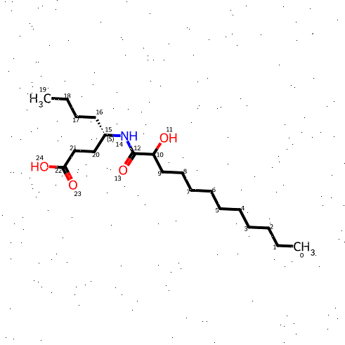 CCCCCCCCCCC(O)C(=O)N[C@@H](CCCC)CCC(=O)O